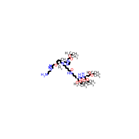 C=C(/C=C\C(=C)OCc1cn(CCCN)nn1)CN(CCCCCC(=O)NCCCC[C@H](NC(=O)N[C@@H](CCC(=O)OC(C)(C)C)C(=O)OC(C)(C)C)C(=O)OC(C)(C)C)Cc1nccn1CC(=O)OC(C)(C)C